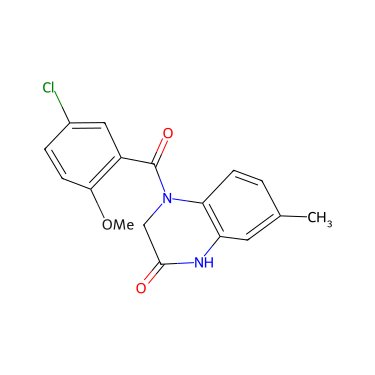 COc1ccc(Cl)cc1C(=O)N1CC(=O)Nc2cc(C)ccc21